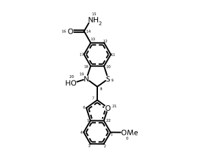 COc1cccc2cc(C3Sc4ccc(C(N)=O)cc4N3O)oc12